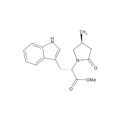 COC(=O)[C@H](Cc1c[nH]c2ccccc12)N1C[C@@H](C)CC1=O